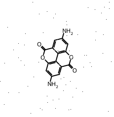 Nc1cc2oc(=O)c3cc(N)cc4oc(=O)c(c1)c2c43